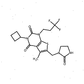 Cc1c(CN2CCNC2=O)sc2c1c(=O)n(C1CCC1)c(=O)n2CCC(F)(F)F